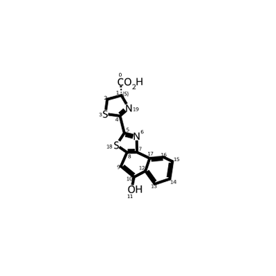 O=C(O)[C@H]1CSC(c2nc3c(cc(O)c4ccccc43)s2)=N1